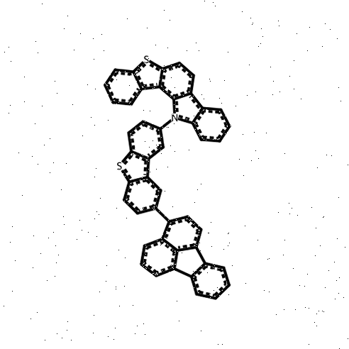 c1ccc2c(c1)-c1cccc3c(-c4ccc5sc6ccc(-n7c8ccccc8c8ccc9sc%10ccccc%10c9c87)cc6c5c4)ccc-2c13